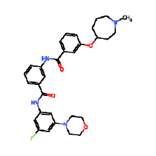 CN1CCCC(Oc2cccc(C(=O)Nc3cccc(C(=O)Nc4cc(F)cc(N5CCOCC5)c4)c3)c2)CC1